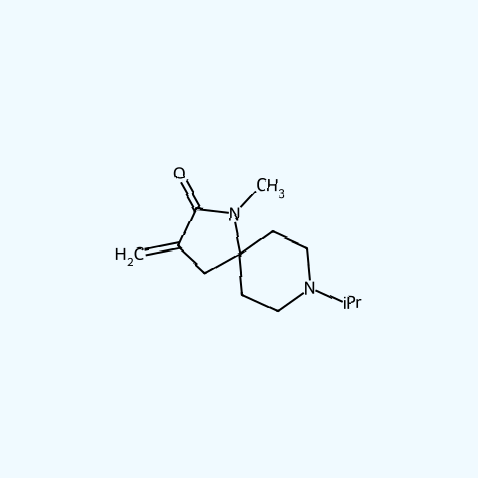 C=C1CC2(CCN(C(C)C)CC2)N(C)C1=O